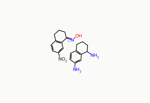 Nc1ccc2c(c1)C(N)CCC2.O=[N+]([O-])c1ccc2c(c1)/C(=N/O)CCC2